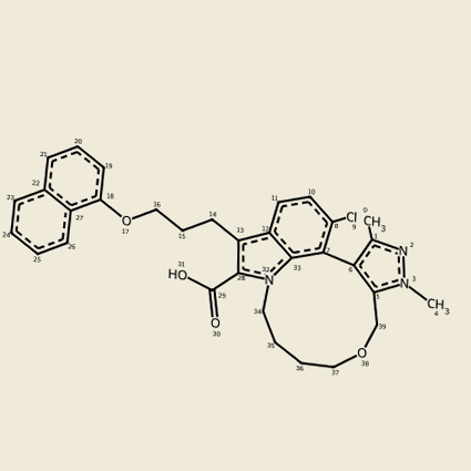 Cc1nn(C)c2c1-c1c(Cl)ccc3c(CCCOc4cccc5ccccc45)c(C(=O)O)n(c13)CCCCOC2